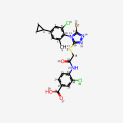 Cc1cc(C2CC2)cc(Cl)c1-n1c(Br)nnc1SCC(=O)Nc1ccc(C(=O)O)cc1Cl